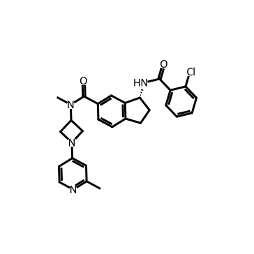 Cc1cc(N2CC(N(C)C(=O)c3ccc4c(c3)[C@H](NC(=O)c3ccccc3Cl)CC4)C2)ccn1